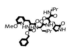 COc1cccc(CC(NC(=O)OCc2ccccc2)C(=O)N[C@@H](CC(C)C)C(=O)N[C@@H](C[C@@H]2CCNC2=O)C(=O)C(=O)NC(C)C)n1